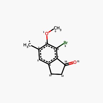 COc1c(C)cc2c(c1Br)C(=O)CC2